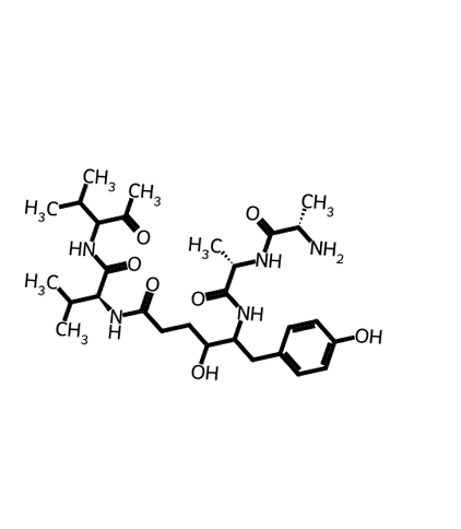 CC(=O)C(NC(=O)[C@@H](NC(=O)CCC(O)C(Cc1ccc(O)cc1)NC(=O)[C@H](C)NC(=O)[C@H](C)N)C(C)C)C(C)C